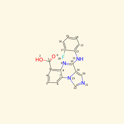 O=C(O)c1cccc2c1nc(Nc1ccccc1F)c1cncn12